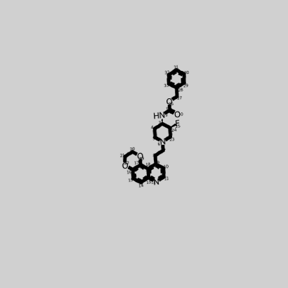 O=C(N[C@H]1CCN(CCc2ccnc3ccc4c(c23)OCCO4)C[C@@H]1F)OCc1ccccc1